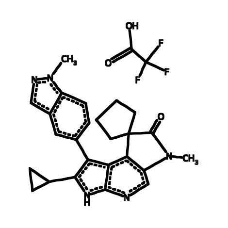 CN1C(=O)C2(CCCC2)c2c1cnc1[nH]c(C3CC3)c(-c3ccc4c(cnn4C)c3)c21.O=C(O)C(F)(F)F